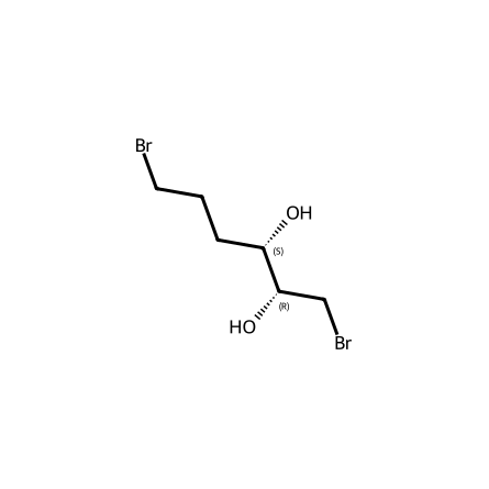 O[C@@H](CBr)[C@@H](O)CCCBr